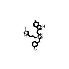 Fc1ccc2c(Cc3nnc(Cc4cccc(Br)c4)n3CCCc3c[nH]cn3)c[nH]c2c1